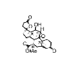 COC(=O)[C@@H]1CC2=CC(=O)CC[C@]2(C)[C@@]23O[C@@H]2C(O)[C@@]2(C)C(CC[C@@]24CCC(=O)O4)C13